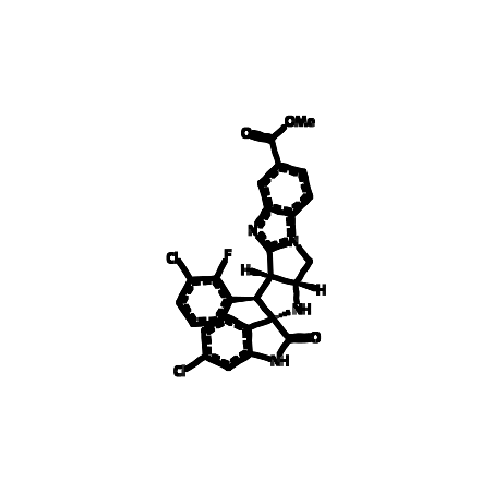 COC(=O)c1ccc2c(c1)nc1n2C[C@@H]2N[C@@]3(C(=O)Nc4cc(Cl)ccc43)[C@@H](c3cccc(Cl)c3F)[C@H]12